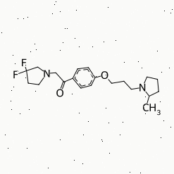 CC1CCCN1CCCOc1ccc(C(=O)CN2CCC(F)(F)C2)cc1